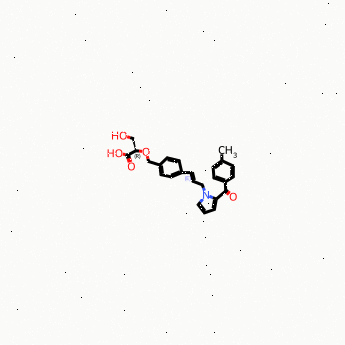 Cc1ccc(C(=O)c2cccn2C/C=C/c2ccc(CO[C@H](CO)C(=O)O)cc2)cc1